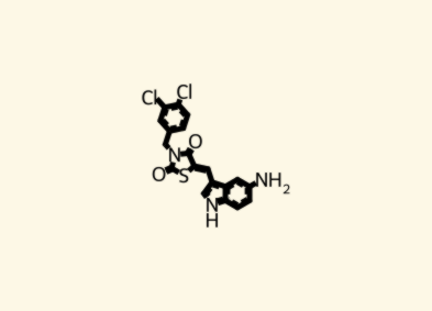 Nc1ccc2[nH]cc(C=C3SC(=O)N(Cc4ccc(Cl)c(Cl)c4)C3=O)c2c1